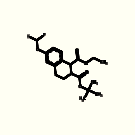 CCOC(=O)C1c2ccc(OC(F)F)cc2CCN1C(=O)OC(C)(C)C